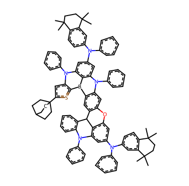 CC1(C)CCC(C)(C)c2cc(N(c3ccccc3)c3cc4c5c(c3)N(c3ccccc3)c3cc(C67CCC(CC6)CC7)sc3B5c3cc5c(cc3N4c3ccccc3)Oc3cc(N(c4ccccc4)c4ccc6c(c4)C(C)(C)CCC6(C)C)cc4c3C5c3ccccc3N4c3ccccc3)ccc21